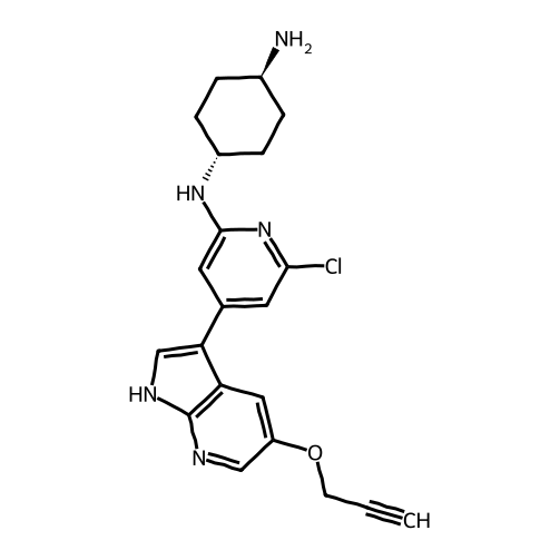 C#CCOc1cnc2[nH]cc(-c3cc(Cl)nc(N[C@H]4CC[C@H](N)CC4)c3)c2c1